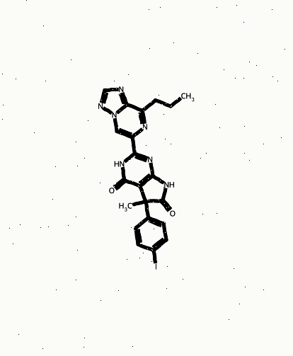 CCCc1nc(-c2nc3c(c(=O)[nH]2)C(C)(c2ccc(I)cc2)C(=O)N3)cn2ncnc12